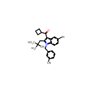 CC(C)c1ccc2c(c1)c(C(=O)C1CCC1)c(CC(C)(C)C(=O)O)n2Cc1cccc(C#N)c1